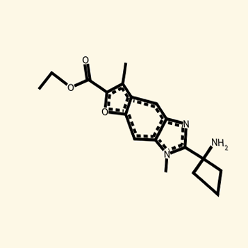 CCOC(=O)c1oc2cc3c(cc2c1C)nc(C1(N)CCC1)n3C